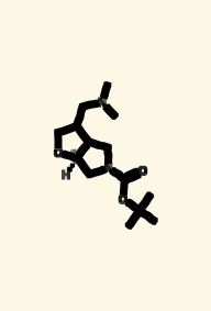 CN(C)CC1CO[C@@H]2CN(C(=O)OC(C)(C)C)CC12